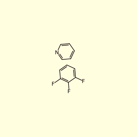 Fc1cccc(F)c1F.c1ccncc1